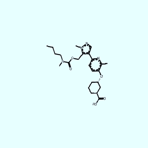 CCCCN(C)C(=O)OCc1c(-c2ccc(O[C@H]3CCCC(C(=O)O)C3)c(C)n2)cnn1C